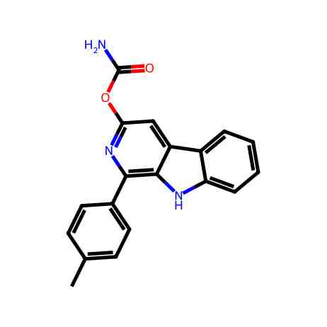 Cc1ccc(-c2nc(OC(N)=O)cc3c2[nH]c2ccccc23)cc1